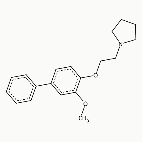 COc1cc(-c2ccccc2)ccc1OCCN1CCCC1